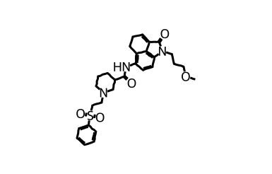 COCCCN1C(=O)C2=CCCc3c(NC(=O)C4CCCN(CCS(=O)(=O)c5ccccc5)C4)ccc1c32